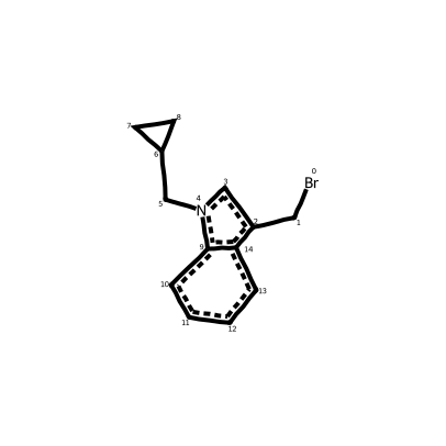 BrCc1cn(CC2CC2)c2ccccc12